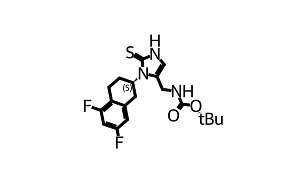 CC(C)(C)OC(=O)NCc1c[nH]c(=S)n1[C@H]1CCc2c(F)cc(F)cc2C1